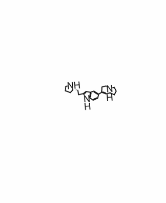 C1=C(c2ccc3[nH]c(CC[C@@H]4CCCN4)cc3c2)CCN2CCC[C@H]12